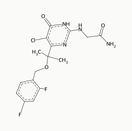 CC(C)(OCc1ccc(F)cc1F)c1nc(NCC(N)=O)[nH]c(=O)c1Cl